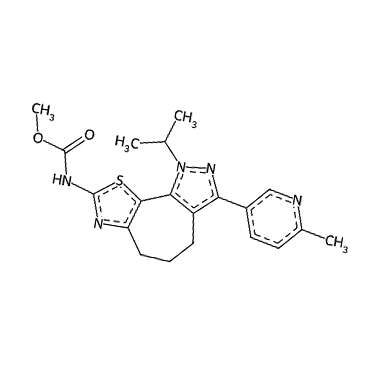 COC(=O)Nc1nc2c(s1)-c1c(c(-c3ccc(C)nc3)nn1C(C)C)CCC2